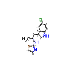 C=C(Cc1c[nH]c2ccc(Cl)cc12)Nc1nccs1